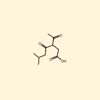 CC(=O)C(CC(=O)O)C(=O)CC(C)C